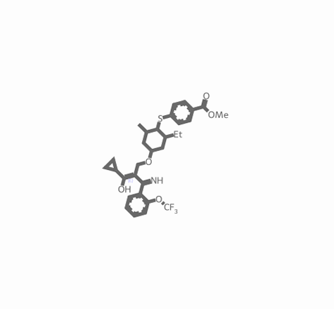 CCC1CC(OC/C(C(=N)c2ccccc2OC(F)(F)F)=C(/O)C2CC2)CC(C)C1Sc1ccc(C(=O)OC)cc1